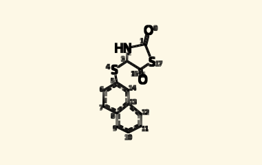 O=C1NC(Sc2ccc3ccccc3c2)C(=O)S1